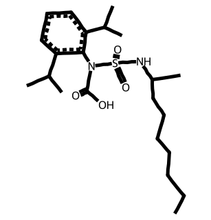 CCCCCCCC(C)NS(=O)(=O)N(C(=O)O)c1c(C(C)C)cccc1C(C)C